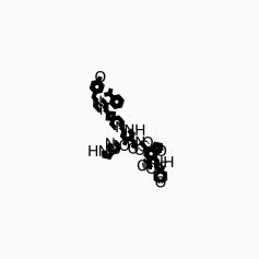 COc1ccc(CN2CCN(C3CC4(CCN(c5cc(Oc6cnc7[nH]ccc7c6)c(C(=O)NS(=O)(=O)c6cc([N+](=O)[O-])c(NCC7(F)CCOCC7)c7occc67)cn5)CC4)C3)[C@H](c3ccccc3C(C)C)C2)cc1